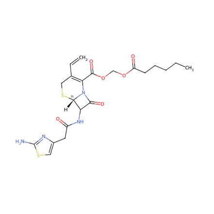 C=CC1=C(C(=O)OCOC(=O)CCCCC)N2C(=O)C(NC(=O)Cc3csc(N)n3)[C@@H]2SC1